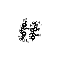 CCC(CCC#N)(c1ccc(C(F)(F)F)cc1)n1ncc2c(NS(C)(=O)=O)cccc21.CCC(CCC#N)(c1ccccc1)n1ncc2c(NS(C)(=O)=O)cc(F)cc21